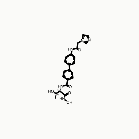 C[C@@H](O)[C@H](NC(=O)c1ccc(-c2ccc(NC(=O)Cn3ccnc3)cc2)cc1)C(=O)NO